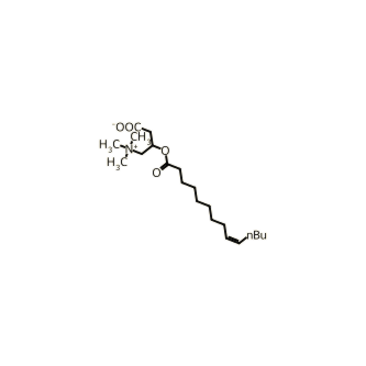 CCCC/C=C\CCCCCCCC(=O)OC(CC(=O)[O-])C[N+](C)(C)C